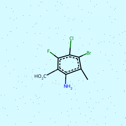 Cc1c(N)c(C(=O)O)c(F)c(Cl)c1Br